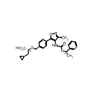 Cc1noc(-c2ccc(CO[C@H](CC3CC3)C(=O)O)cc2)c1NC(=O)O[C@H](C)c1ccccc1